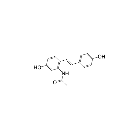 CC(=O)Nc1cc(O)ccc1C=Cc1ccc(O)cc1